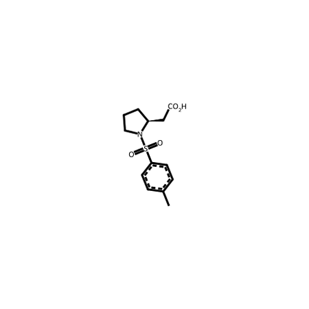 Cc1ccc(S(=O)(=O)N2CCC[C@H]2CC(=O)O)cc1